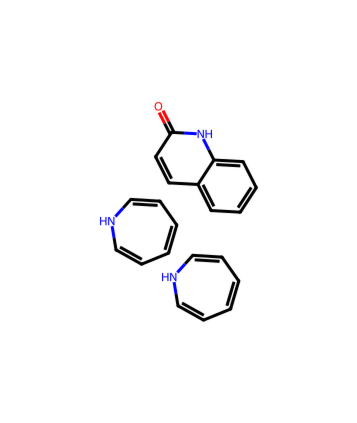 C1=CC=CNC=C1.C1=CC=CNC=C1.O=c1ccc2ccccc2[nH]1